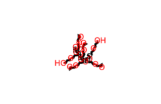 C/[Si](=C\CCOCCCO)O[Si](C)(CCCOCC1CO1)O[Si](C)(CCCOCC1CO1)O[Si](C)(CCCOCC1CO1)O[Si](C)(CCCOCCCO)O[Si](C)(O)CCCOCC1CO1